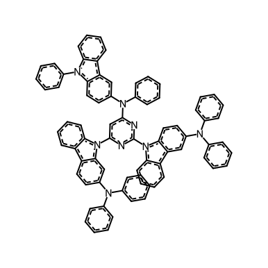 c1ccc(N(c2ccccc2)c2ccc3c(c2)c2ccccc2n3-c2nc(N(c3ccccc3)c3ccc4c(c3)c3ccccc3n4-c3ccccc3)cc(-n3c4ccccc4c4ccc(N(c5ccccc5)c5ccccc5)cc43)n2)cc1